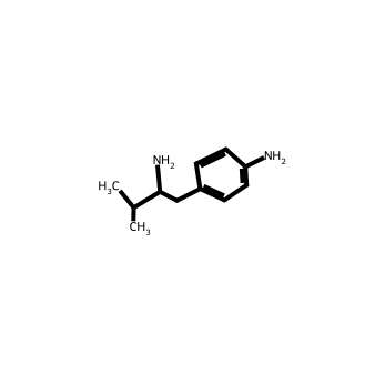 CC(C)C(N)Cc1ccc(N)cc1